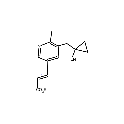 CCOC(=O)/C=C/c1cnc(C)c(CC2(C#N)CC2)c1